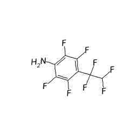 Nc1c(F)c(F)c(C(F)(F)C(F)F)c(F)c1F